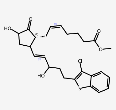 COC(=O)CCC/C=C\C[C@H]1C(=O)C(O)CC1/C=C/C(O)CCc1sc2ccccc2c1Cl